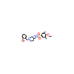 CCOc1c(C)cc(S(=O)(=O)NCC2CCN(Cc3ccccc3Br)CC2)cc1C